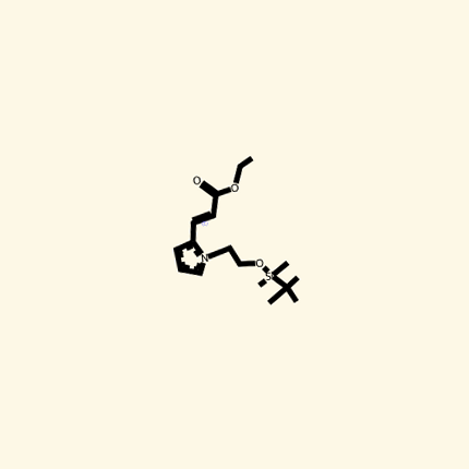 CCOC(=O)/C=C/c1cccn1CCO[Si](C)(C)C(C)(C)C